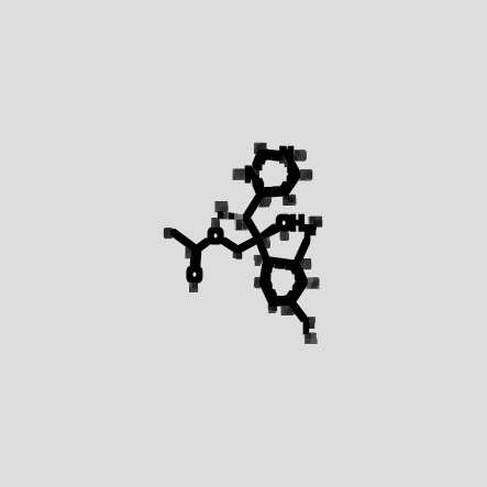 CC(=O)OC[C@@](O)(c1ccc(F)cc1F)[C@H](C)c1ccncn1